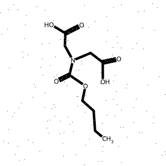 CCCCOC(=O)N(CC(=O)O)CC(=O)O